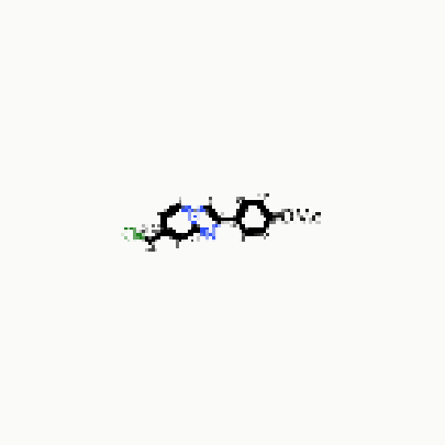 COc1ccc(-c2cn3ccc(CCl)cc3n2)cc1